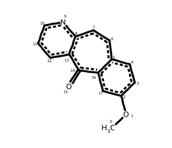 COc1ccc2ccc3ncccc3c(=O)c2c1